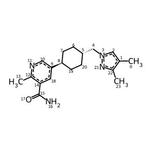 Cc1cn(C[C@H]2CC[C@H](c3cnc(C)c(C(N)=O)c3)CC2)nc1C